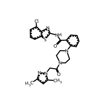 Cc1cc(C)n(CC(=O)N2CCN(c3ccccc3C(=O)Nc3nc4c(Cl)cccc4s3)CC2)n1